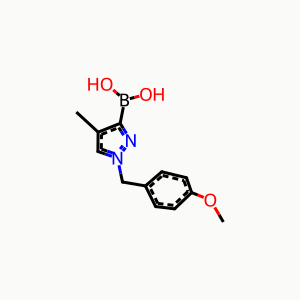 COc1ccc(Cn2cc(C)c(B(O)O)n2)cc1